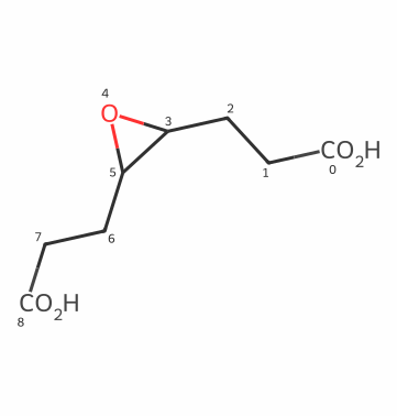 O=C(O)CCC1OC1CCC(=O)O